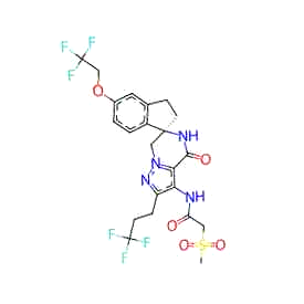 CS(=O)(=O)CC(=O)Nc1c(CCC(F)(F)F)nn2c1C(=O)N[C@@]1(CCc3cc(OCC(F)(F)F)ccc31)C2